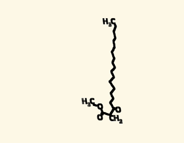 C=C(C(=O)CCCCCCCCCCCCCCCCC)C(=O)OCC